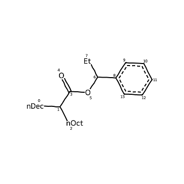 CCCCCCCCCCC(CCCCCCCC)C(=O)OC(CC)c1ccccc1